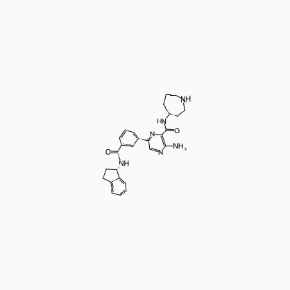 Nc1ncc(-c2cccc(C(=O)N[C@H]3CCc4ccccc43)c2)nc1C(=O)NC1CCCNCC1